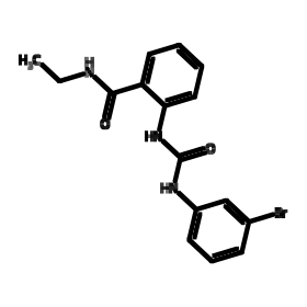 CCNC(=O)c1ccccc1NC(=O)Nc1cccc(Br)c1